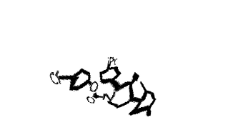 C#CC1=C(c2cc(C)ccc2C)CCN(C(=O)Oc2ccc(Cl)cc2)C1c1ccc(C(C)C)cc1